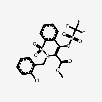 COC(=O)C1=C(OS(=O)(=O)C(F)(F)F)c2ccccc2S(=O)(=O)N1Cc1ccccc1Cl